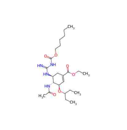 CCCCCCOC(=O)NC(=N)N[C@H]1CC(C(=O)OCC)=C[C@@H](OC(CC)CC)[C@@H]1NC(C)=O